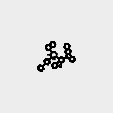 CC1=C(c2ccc(-c3ccccc3)cc2)N=C(c2cc(-n3c4ccccc4c4cc5ccccc5cc43)cc3oc4ccccc4c23)CC=C1c1cccc2ccccc12